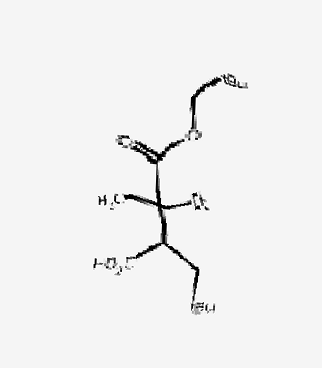 CCC(C)(C(=O)OCC(C)(C)C)C(CC(C)(C)C)C(=O)O